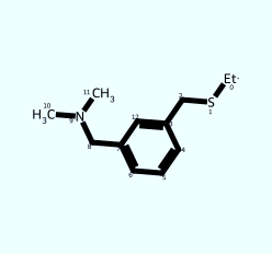 C[CH]SCc1cccc(CN(C)C)c1